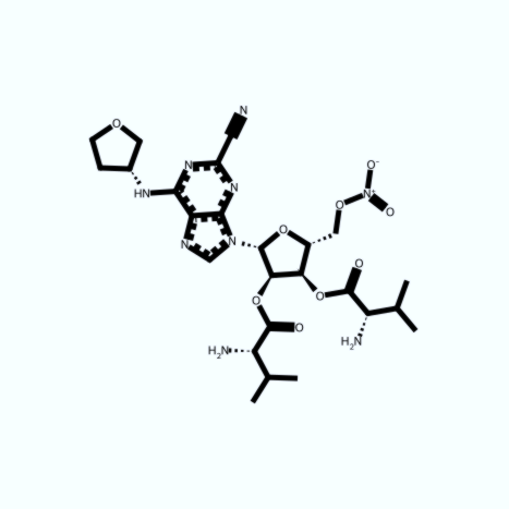 CC(C)[C@H](N)C(=O)O[C@@H]1[C@H](OC(=O)[C@@H](N)C(C)C)[C@@H](CO[N+](=O)[O-])O[C@H]1n1cnc2c(N[C@@H]3CCOC3)nc(C#N)nc21